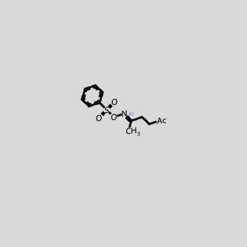 CC(=O)CC/C(C)=N/OS(=O)(=O)c1ccccc1